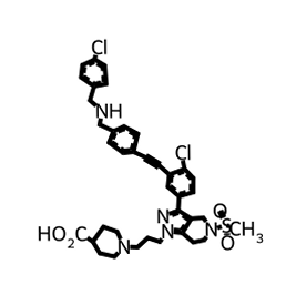 CS(=O)(=O)N1CCc2c(c(-c3ccc(Cl)c(C#Cc4ccc(CNCc5ccc(Cl)cc5)cc4)c3)nn2CCCN2CCC(C(=O)O)CC2)C1